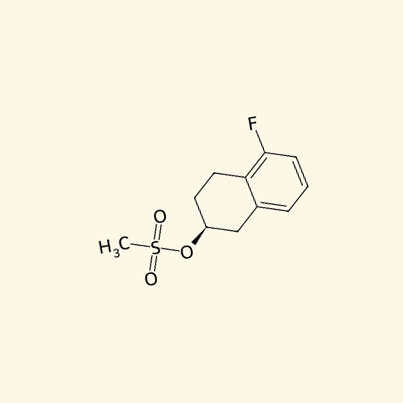 CS(=O)(=O)O[C@H]1CCc2c(F)cccc2C1